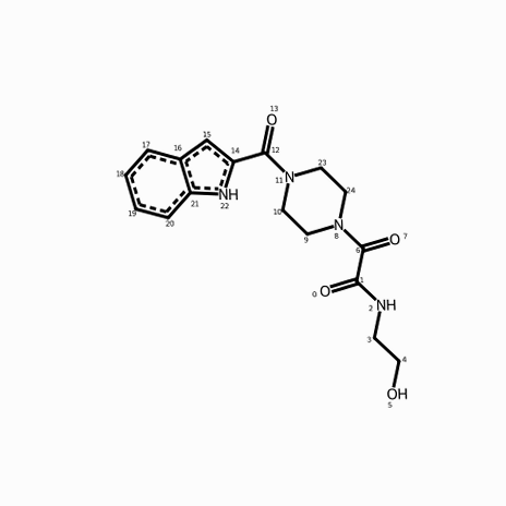 O=C(NCCO)C(=O)N1CCN(C(=O)c2cc3ccccc3[nH]2)CC1